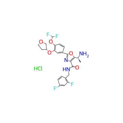 C[C@H](N)c1oc(-c2ccc(OC(F)F)c(OC3CCOC3)c2)nc1C(=O)NCc1ccc(F)cc1F.Cl